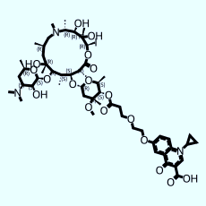 CO[C@]1(C)C[C@H](O[C@H]2[C@H](C)[C@@H](O[C@@H]3O[C@H](C)C[C@H](N(C)C)[C@@H]3O)[C@](C)(O)C[C@@H](C)CN(C)[C@H](C)[C@@H](O)[C@](C)(O)[C@@H](I)OC(=O)[C@@H]2C)O[C@@H](C)[C@@H]1OC(=O)CCOCCOc1ccc2c(c1)c(=O)c(C(=O)O)cn2C1CC1